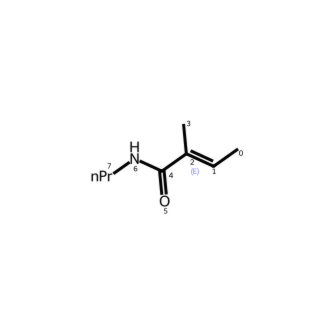 C/C=C(\C)C(=O)NCCC